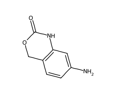 Nc1ccc2c(c1)NC(=O)OC2